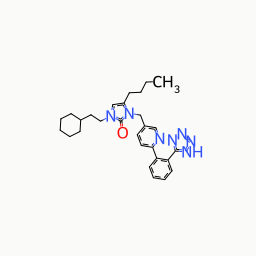 CCCCc1cn(CCC2CCCCC2)c(=O)n1Cc1ccc(-c2ccccc2-c2nnn[nH]2)nc1